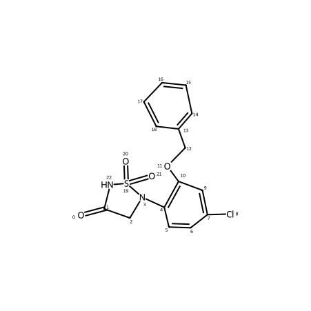 O=C1CN(c2ccc(Cl)cc2OCc2ccccc2)S(=O)(=O)N1